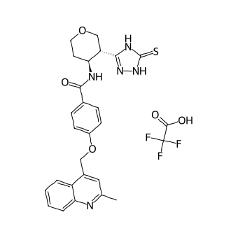 Cc1cc(COc2ccc(C(=O)N[C@H]3CCOC[C@@H]3c3n[nH]c(=S)[nH]3)cc2)c2ccccc2n1.O=C(O)C(F)(F)F